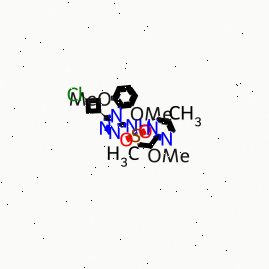 COc1cccc(OC)c1-n1c(NS(=O)(=O)[C@@H](C)[C@H](OC)c2ncc(C)cn2)nnc1[C@H]1C[C@@H](Cl)C1